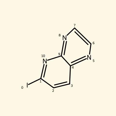 Ic1ccc2nccnc2n1